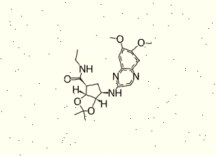 CCNC(=O)[C@H]1C[C@@H](Nc2cnc3cc(OC)c(OC)cc3n2)[C@@H]2OC(C)(C)O[C@@H]21